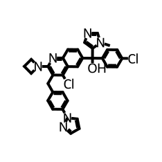 Cn1cncc1C(O)(c1ccc(Cl)cc1)c1ccc2nc(N3CCC3)c(Cc3ccc(-n4cccn4)cc3)c(Cl)c2c1